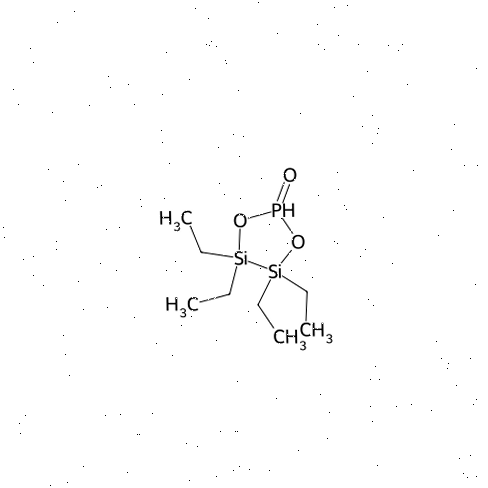 CC[Si]1(CC)O[PH](=O)O[Si]1(CC)CC